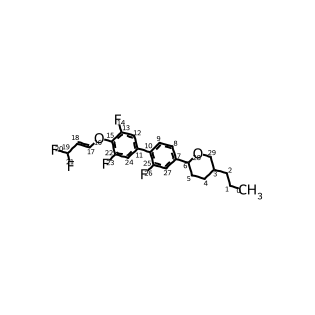 CCCC1CCC(c2ccc(-c3cc(F)c(O/C=C/C(F)F)c(F)c3)c(F)c2)OC1